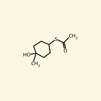 CC(=O)SC1CCC(C)(O)CC1